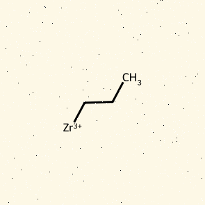 CC[CH2][Zr+3]